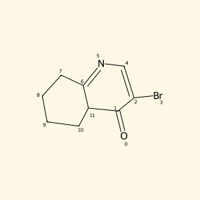 O=C1C(Br)=CN=C2CCCCC12